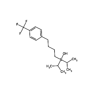 CC(C)[Si](O)(CCCCc1ccc(C(F)(F)F)cc1)C(C)C